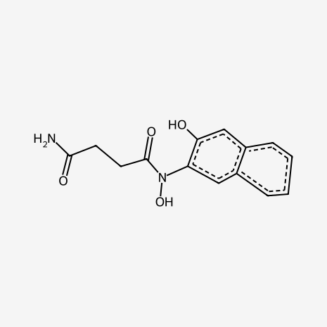 NC(=O)CCC(=O)N(O)c1cc2ccccc2cc1O